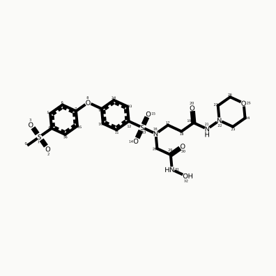 CS(=O)(=O)c1ccc(Oc2ccc(S(=O)(=O)N(CCC(=O)NN3CCOCC3)CC(=O)NO)cc2)cc1